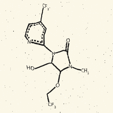 CN1C(=O)N(c2cc(C(F)(F)F)ccn2)C(O)C1OCC(F)(F)F